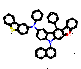 C1=C2c3c(cc4oc5ccccc5c4c3-c3ccccc3)N(c3cccc4ccccc34)C2CC=C1N(c1ccccc1)c1ccc2sc3ccccc3c2c1